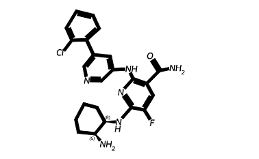 NC(=O)c1cc(F)c(N[C@@H]2CCCC[C@@H]2N)nc1Nc1cncc(-c2ccccc2Cl)c1